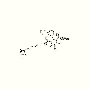 COC(=O)C1=C(C)NC(C)=C(C(=O)OCCCCCCCc2nc(C)cs2)C1c1cccc(C(F)(F)F)c1